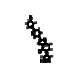 O=C1c2sc(-c3ccc(N4CCC(F)C4)nc3)nc2CCN1c1cn[nH]c1